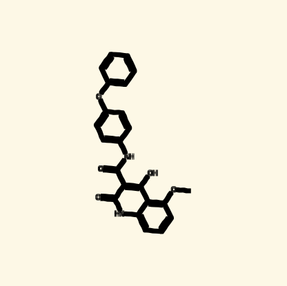 COc1cccc2[nH]c(=O)c(C(=O)Nc3ccc(Oc4ccccc4)cc3)c(O)c12